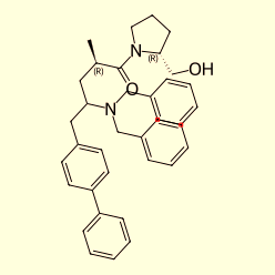 C[C@H](CC(Cc1ccc(-c2ccccc2)cc1)N(Cc1ccccc1)Cc1ccccc1)C(=O)N1CCC[C@@H]1CO